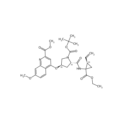 C=C[C@H]1CC1(NC(=O)[C@@H]1C[C@@H](Oc2cc(C(=O)OC)nc3cc(OC)ccc23)CN1C(=O)OC(C)(C)C)C(=O)OCC